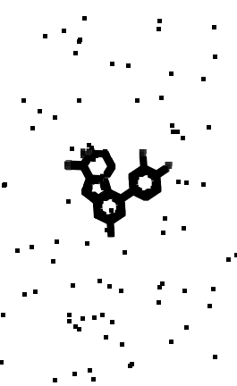 Cc1cc(-c2ccc(F)c(F)c2)c2c(c1)cc1n2CCNC1=O